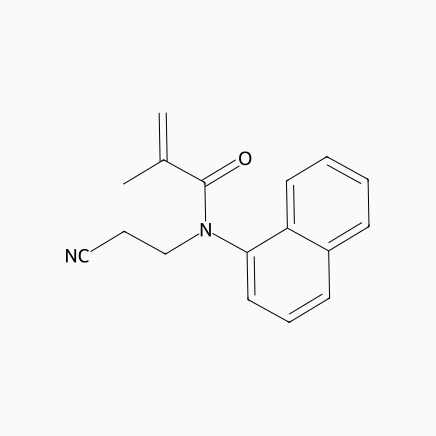 C=C(C)C(=O)N(CCC#N)c1cccc2ccccc12